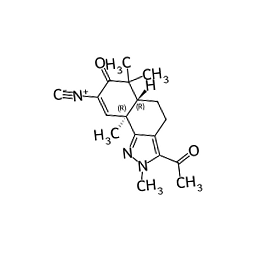 [C-]#[N+]C1=C[C@]2(C)c3nn(C)c(C(C)=O)c3CC[C@H]2C(C)(C)C1=O